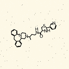 CC(CCNC(=O)C1CSC(c2cccnc2)N1)N1CCN2c3ccccc3Cc3ccccc3C2C1